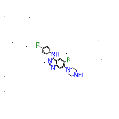 Fc1ccc(Nc2ncnc3cc(N4CCNCC4)c(F)cc23)cc1